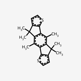 Cc1c2c(c(C)c3c1C(C)(C)c1ccsc1-3)C(C)(C)c1ccsc1-2